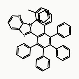 Cc1ccccc1-n1c(-c2c(-c3ccccc3)c(-c3ccccc3)c(-c3ccccc3)c(-c3ccccc3)c2-c2ccccc2)nc2cccnc21